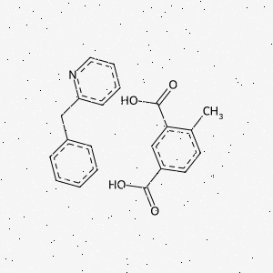 Cc1ccc(C(=O)O)cc1C(=O)O.c1ccc(Cc2ccccn2)cc1